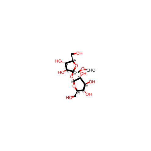 O=COC[C@@]1(O[C@H]2O[C@H](CO)[C@@H](O)[C@H](O)[C@H]2O)O[C@H](CO)[C@@H](O)[C@@H]1O